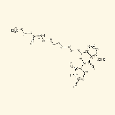 CN(C(=O)c1c(C=O)cccc1CCCCCCCCCNC(=O)CCCC(=O)O)C1CCC(=O)NC1=O